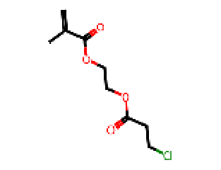 C=C(C)C(=O)OCCOC(=O)CCCl